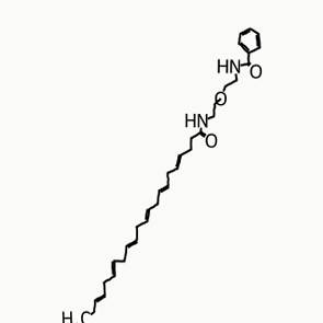 CCC=CCC=CCC=CCC=CCC=CCC=CCCC(=O)NCCOCCNC(=O)c1ccccc1